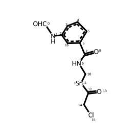 O=CNc1cccc(C(=O)N[CH2][Sn][C](=O)CCl)c1